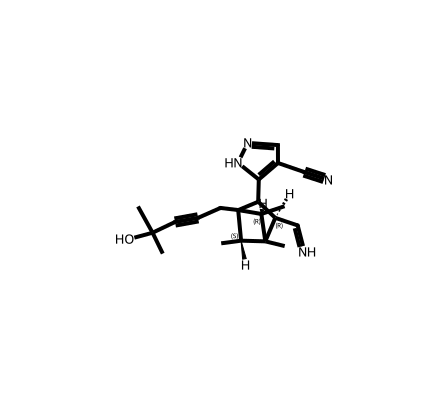 C[C@@H]1C2(CC#CC(C)(C)O)C(c3[nH]ncc3C#N)[C@@H](C=N)C1(C)[C@H]2C